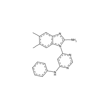 Cc1cc2nc(N)n(-c3cc(Nc4ccccc4)ncn3)c2cc1C